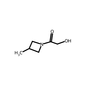 CC1CN(C(=O)CO)C1